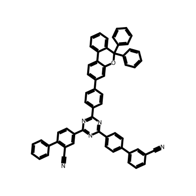 N#Cc1cccc(-c2ccc(-c3nc(-c4ccc(-c5ccc6c(c5)OC(c5ccccc5)(c5ccccc5)c5ccccc5-6)cc4)nc(-c4ccc(-c5ccccc5)c(C#N)c4)n3)cc2)c1